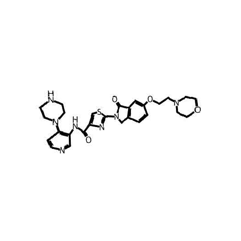 O=C(Nc1cnccc1N1CCNCC1)c1csc(N2Cc3ccc(OCCN4CCOCC4)cc3C2=O)n1